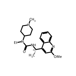 CCN(C(=O)N[C@@H](C)c1cc(OC)nc2ccccc12)C1CCN(C)CC1